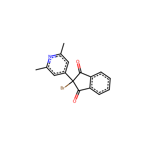 Cc1cc(C2(Br)C(=O)c3ccccc3C2=O)cc(C)n1